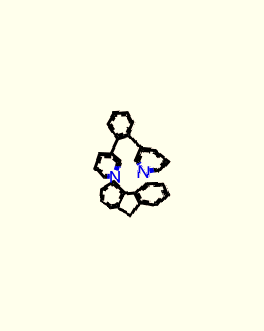 c1ccc2c(c1)Cc1ccccc1-2.c1cncc(-c2ccccc2-c2cccnc2)c1